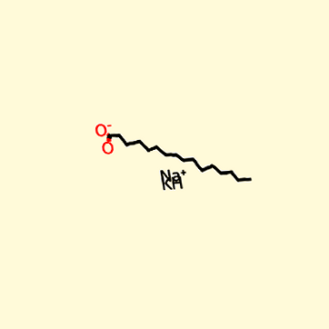 CCCCCCCCCCCCCCCC(=O)[O-].[KH].[Na+]